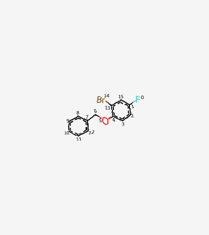 Fc1ccc(OCc2ccccc2)c(Br)c1